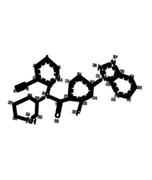 C#Cc1cccnc1N(C(=O)c1ccc(-n2nnc3cccnc32)cc1F)[C@@H]1CCCNC1